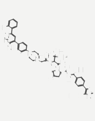 Cc1ncsc1-c1ccc(C(C)NC(=O)[C@@H]2C[C@@H](O)CN2C(=O)C(NC(=O)CN2CCN(c3ccc(-c4cc(-c5ccccc5F)nnc4N)cc3)CC2)C(C)(C)C)cc1